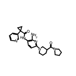 Nc1nc(N2CCCC(C(=O)N3CCCC3)C2)ccc1NC(=O)C1(c2cccnc2)CC1